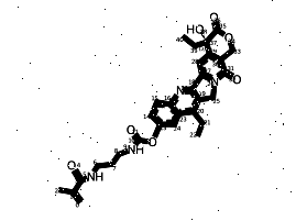 C=C(C)C(=O)NCCCNC(=O)Oc1ccc2nc3c(c(CC)c2c1)Cn1c-3cc2c(c1=O)COC(=O)[C@]2(O)CC